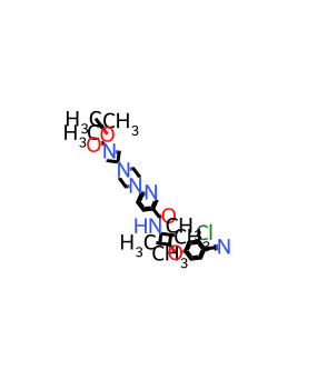 CC(C)(C)OC(=O)N1CC(N2CCN(c3ccc(C(=O)NC4C(C)(C)C(Oc5ccc(C#N)c(Cl)c5)C4(C)C)cn3)CC2)C1